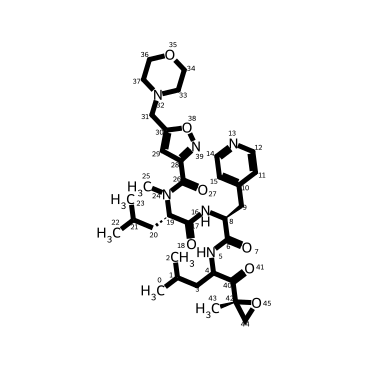 CC(C)CC(NC(=O)[C@H](Cc1ccncc1)NC(=O)[C@H](CC(C)C)N(C)C(=O)c1cc(CN2CCOCC2)on1)C(=O)[C@@]1(C)CO1